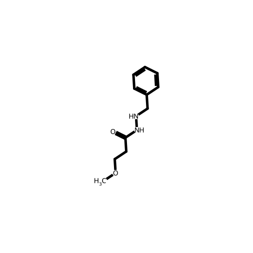 COCCC(=O)NNCc1ccccc1